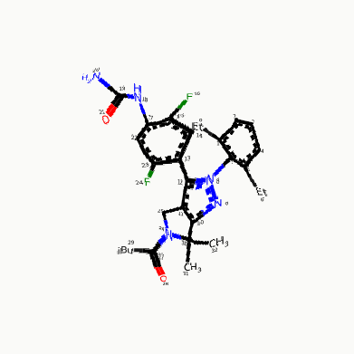 CCc1cccc(CC)c1-n1nc2c(c1-c1cc(F)c(NC(N)=O)cc1F)CN(C(=O)C(C)CC)C2(C)C